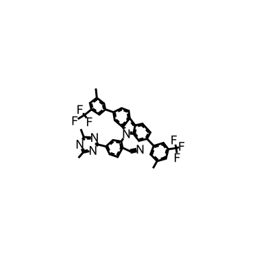 Cc1cc(-c2ccc3c4ccc(-c5cc(C)cc(C(F)(F)F)c5)cc4n(-c4cc(-c5nc(C)nc(C)n5)ccc4C#N)c3c2)cc(C(F)(F)F)c1